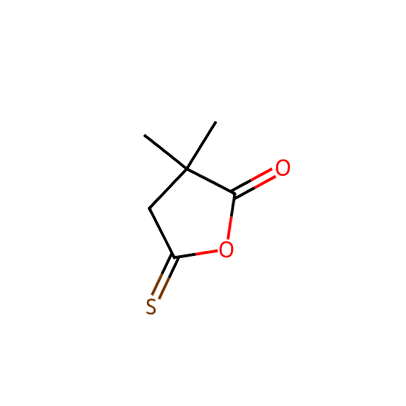 CC1(C)CC(=S)OC1=O